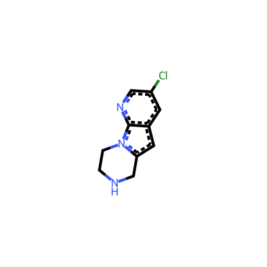 Clc1cnc2c(c1)cc1n2CCNC1